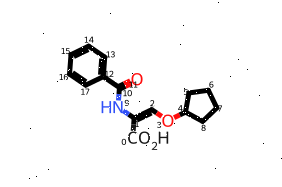 O=C(O)C(=COC1CCCC1)NC(=O)c1ccccc1